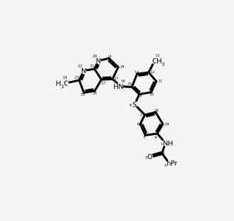 CCCC(=O)Nc1ccc(Sc2ccc(C)cc2Nc2ccnc3nc(C)ccc23)cc1